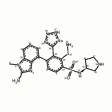 Cn1c(N)nc2c(-c3ccc(S(=O)(=O)N[C@H]4CCNC4)c(SN)c3-c3nn[nH]n3)cccc21